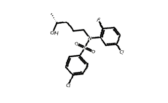 C[C@@H](O)CCCN(c1cc(Cl)ccc1F)S(=O)(=O)c1ccc(Cl)cc1